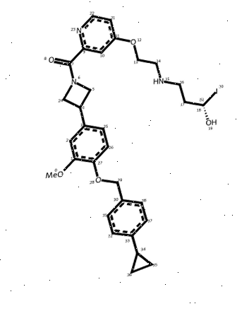 COc1cc(C2CN(C(=O)c3cc(OCCNCC[C@@H](O)I)ccn3)C2)ccc1OCc1ccc(C2CC2)cc1